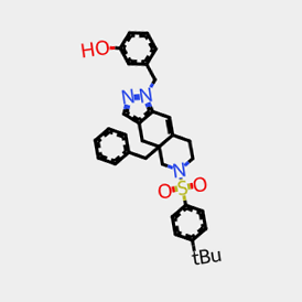 CC(C)(C)c1ccc(S(=O)(=O)N2CCC3=Cc4c(cnn4Cc4cccc(O)c4)CC3(Cc3ccccc3)C2)cc1